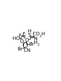 N#CC1(Br)C=CC(OC[C@@H](S)[C@H](N)C(=O)O)=C(Br)C1.O=C(O)C(F)(F)F